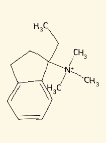 CCC1([N+](C)(C)C)CCc2ccccc21